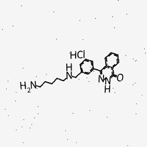 Cl.NCCCCCNCc1cccc(-c2n[nH]c(=O)c3ccccc23)c1